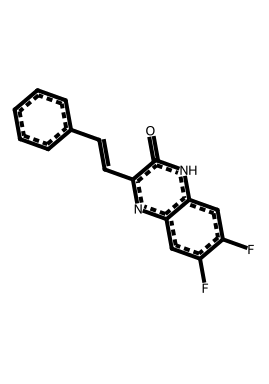 O=c1[nH]c2cc(F)c(F)cc2nc1C=Cc1ccccc1